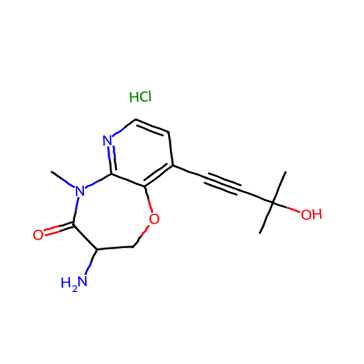 CN1C(=O)C(N)COc2c(C#CC(C)(C)O)ccnc21.Cl